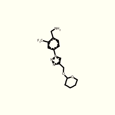 NCc1ccc(-n2cc(COC3CCCCO3)nn2)cc1C(F)(F)F